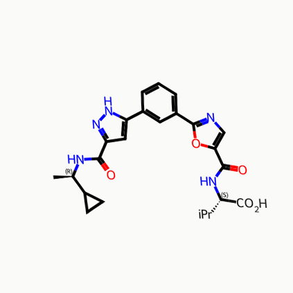 CC(C)[C@H](NC(=O)c1cnc(-c2cccc(-c3cc(C(=O)N[C@H](C)C4CC4)n[nH]3)c2)o1)C(=O)O